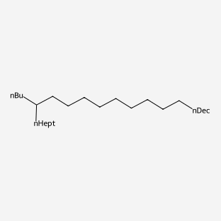 [CH2]CCCC(CCCCCCC)CCCCCCCCCCCCCCCCCCC